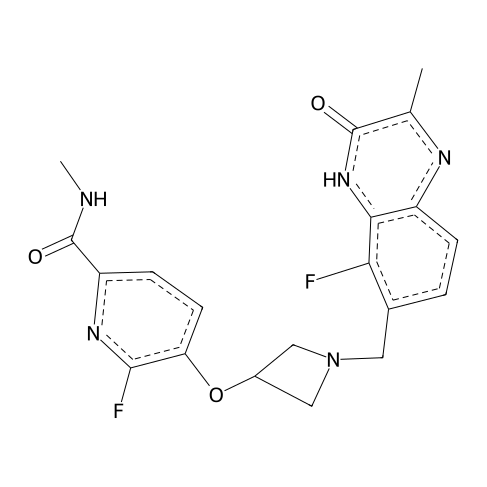 CNC(=O)c1ccc(OC2CN(Cc3ccc4nc(C)c(=O)[nH]c4c3F)C2)c(F)n1